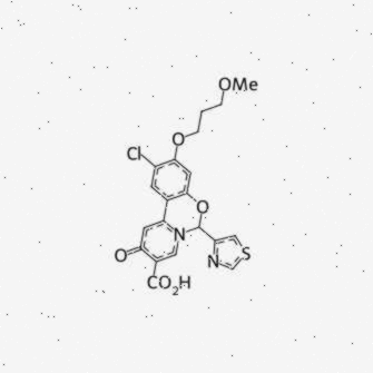 COCCCOc1cc2c(cc1Cl)-c1cc(=O)c(C(=O)O)cn1C(c1cscn1)O2